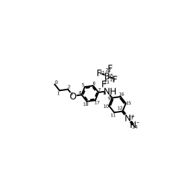 CCCOc1ccc(NC2=CCC(=[N+]=[N-])C=C2)cc1.F[B-](F)(F)F